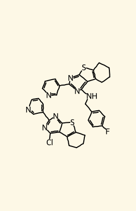 Clc1nc(-c2cccnc2)nc2sc3c(c12)CCCC3.Fc1ccc(CNc2nc(-c3cccnc3)nc3sc4c(c23)CCCC4)cc1